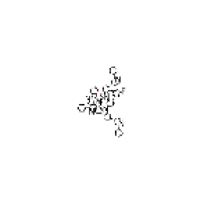 N#Cc1c(-n2c3cc(-c4ccnc(-c5ccccc5)c4)ccc3c3ccc(-c4ccnc(-c5ccccc5)c4)cc32)ccc2c3cc(F)cc(c3)c3c(-c4ccnc(-c5ccccc5)c4)ccc4c5ccc(-c6ccnc(-c7ccccc7)c6)cc5n(c12)c43